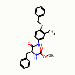 Cc1cc(NC(=O)[C@H](Cc2ccccc2)NC(=O)OC(C)(C)C)ccc1SCc1ccccc1